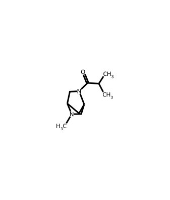 CC(C)C(=O)N1CC2CC1CN2C